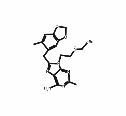 CC(C)(C)CNCCn1c(Cc2cc3c(cc2I)OCO3)nc2c(N)nc(F)nc21